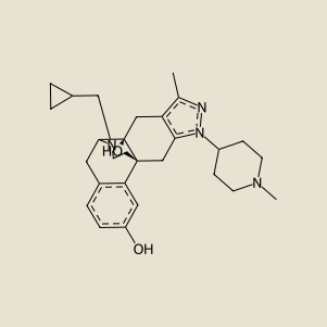 Cc1nn(C2CCN(C)CC2)c2c1C[C@@]1(O)C3Cc4ccc(O)cc4[C@@]1(CCN3CC1CC1)C2